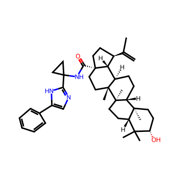 C=C(C)[C@@H]1CC[C@]2(C(=O)NC3(c4ncc(-c5ccccc5)[nH]4)CC3)CC[C@]3(C)[C@H](CC[C@@H]4[C@@]5(C)CC[C@H](O)C(C)(C)[C@@H]5CC[C@]43C)[C@@H]12